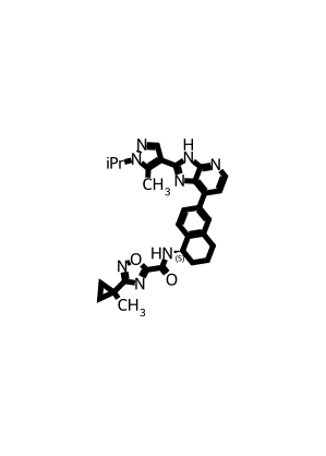 Cc1c(-c2nc3c(-c4ccc5c(c4)CCC[C@@H]5NC(=O)c4nc(C5(C)CC5)no4)ccnc3[nH]2)cnn1C(C)C